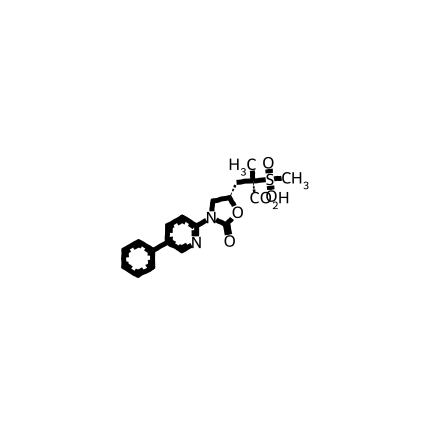 C[C@@](C[C@H]1CN(c2ccc(-c3ccccc3)cn2)C(=O)O1)(C(=O)O)S(C)(=O)=O